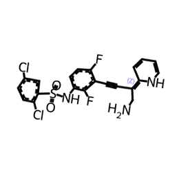 NC/C(C#Cc1c(F)ccc(NS(=O)(=O)c2cc(Cl)ccc2Cl)c1F)=C1/C=CC=CN1